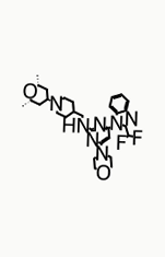 C[C@@H]1C[C@@H](N2CCC(CNc3nc(N4CCOCC4)cc(-n4c(C(F)F)nc5ccccc54)n3)CC2)C[C@H](C)O1